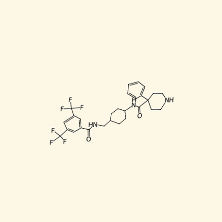 O=C(NCC1CCC(NC(=O)C2(c3ccccc3)CCNCC2)CC1)c1cc(C(F)(F)F)cc(C(F)(F)F)c1